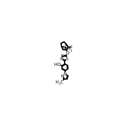 Cc1ccn(-c2ccc(-c3nnc(OC4CC5CCC(C4F)N5C)s3)c(O)c2)n1